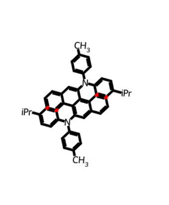 Cc1ccc(N(c2ccc(C(C)C)cc2)c2cc3ccccc3c3c(N(c4ccc(C)cc4)c4ccc(C(C)C)cc4)cc4ccccc4c23)cc1